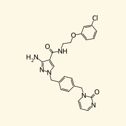 Nc1nn(Cc2ccc(Cn3cccnc3=O)cc2)cc1C(=O)NCCOc1cccc(Cl)c1